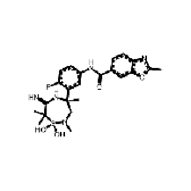 Cc1nc2ccc(C(=O)Nc3ccc(F)c([C@]4(C)CN(C)S(O)(O)C(C)(C)C(=N)N4)c3)cc2o1